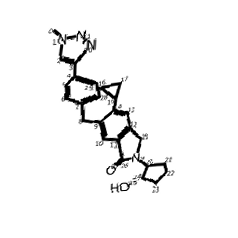 Cn1cc(-c2ccc(Cc3cc4c(cc3C3CC3)CN(C3CCC[C@@H]3O)C4=O)cc2)nn1